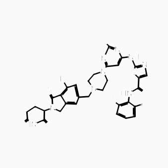 Cc1nc(Nc2ncc(C(=O)Nc3c(C)cccc3Cl)s2)cc(N2CCN(Cc3cc(F)c4c(c3)CN(C3CCC(=O)NC3=O)C4=O)CC2)n1